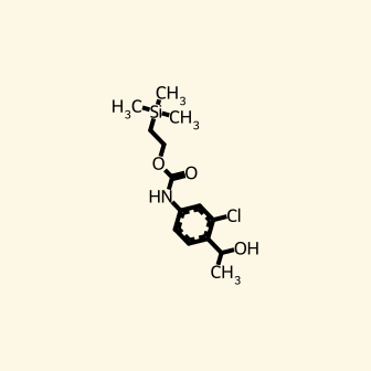 CC(O)c1ccc(NC(=O)OCC[Si](C)(C)C)cc1Cl